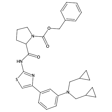 O=C(Nc1nc(-c2cccc(N(CC3CC3)CC3CC3)c2)cs1)C1CCCN1C(=O)OCc1ccccc1